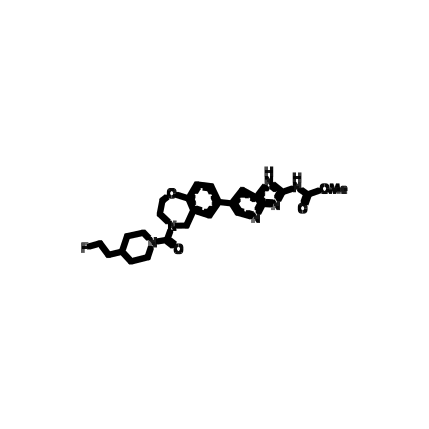 COC(=O)Nc1nc2ncc(-c3ccc4c(c3)CN(C(=O)N3CCC(CCF)CC3)CCO4)cc2[nH]1